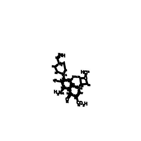 Cl.N=CN1CCN(c2c(F)c(N)c3c(=O)c(C(=O)O)cn(C4COC4)c3c2F)CC1